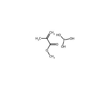 C=C(C)C(=O)OC.OP(O)O